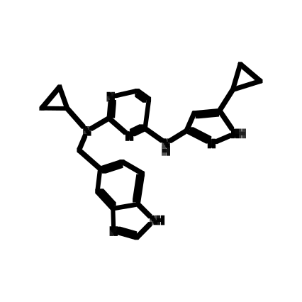 c1cc(Nc2cc(C3CC3)[nH]n2)nc(N(Cc2ccc3[nH]cnc3c2)C2CC2)n1